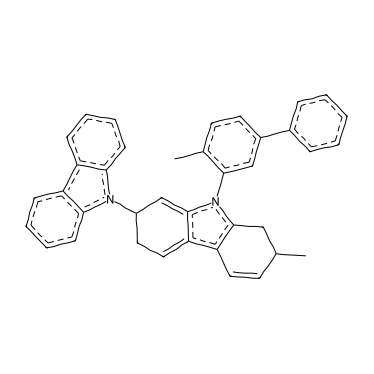 Cc1ccc(-c2ccccc2)cc1-n1c2c(c3c1=CC(n1c4ccccc4c4ccccc41)CC=3)C=CC(C)C2